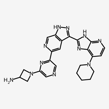 NC1CN(c2cncc(-c3cc4c(-c5nc6c(N7CCCCC7)ccnc6[nH]5)n[nH]c4cn3)n2)C1